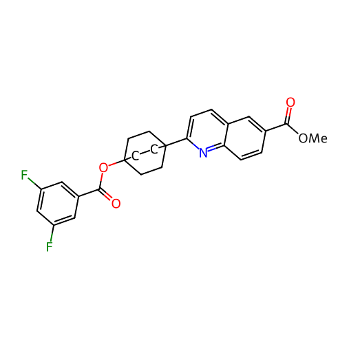 COC(=O)c1ccc2nc(C34CCC(OC(=O)c5cc(F)cc(F)c5)(CC3)CC4)ccc2c1